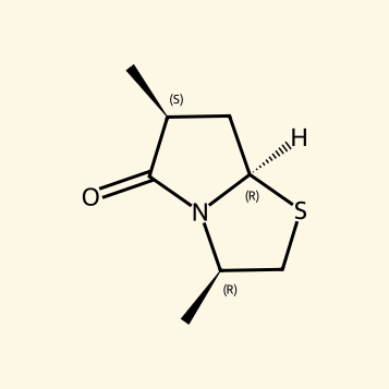 C[C@@H]1CS[C@@H]2C[C@H](C)C(=O)N12